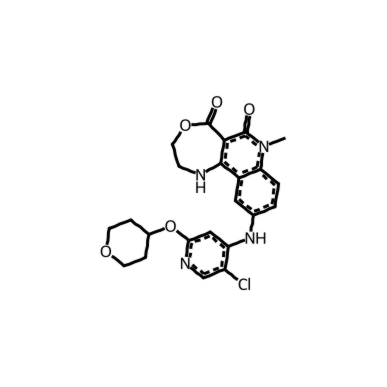 Cn1c(=O)c2c(c3cc(Nc4cc(OC5CCOCC5)ncc4Cl)ccc31)NCCOC2=O